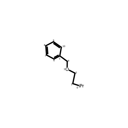 CC(C)CCOCc1ccccc1